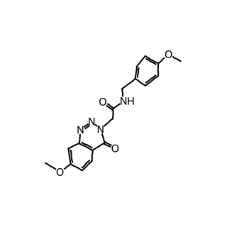 COc1ccc(CNC(=O)Cn2nnc3cc(OC)ccc3c2=O)cc1